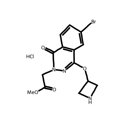 COC(=O)Cn1nc(OC2CNC2)c2cc(Br)ccc2c1=O.Cl